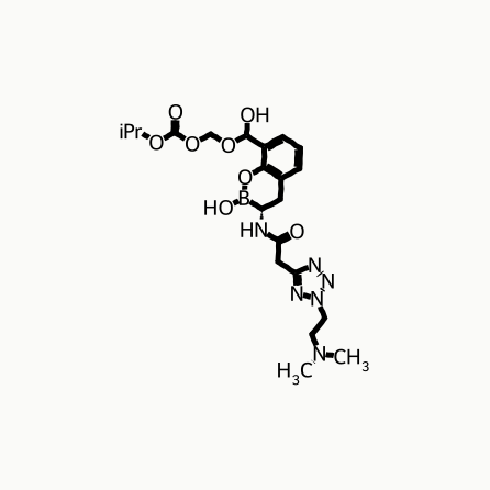 CC(C)OC(=O)OCOC(O)c1cccc2c1OB(O)[C@@H](NC(=O)Cc1nnn(CCN(C)C)n1)C2